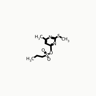 CCCS(=O)(=O)Oc1cc(C)nc(SC)n1